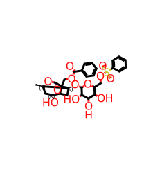 C[C@@]12C[C@@]3(O)OC(O1)C1(COC(=O)c4ccccc4)C3C[C@]12OC1OC(COS(=O)(=O)c2ccccc2)C(O)C(O)C1O